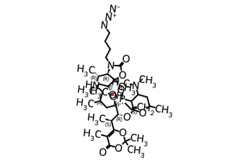 C=CC[C@](C[C@@H](C)CN[C@H](C)[C@H]1N(CCCCN=[N+]=[N-])C(=O)O[C@]1(C)[C@H](O)CC)(OC)[C@H](O[C@@H]1OC(C)CC(N(C)C)C1P=O)[C@H](C)C1=C(C)C(=O)OC(C)(C)O1